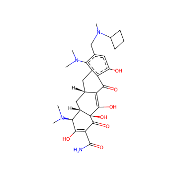 CN(C)c1c(CN(C)C2CCC2)cc(O)c2c1C[C@H]1C[C@H]3[C@H](N(C)C)C(O)=C(C(N)=O)C(=O)[C@@]3(O)C(O)=C1C2=O